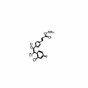 CCO/C(=C(\CC)c1ccc(F)cc1Cl)c1ccc(/C=C/C(=O)OC(C)(C)C)cc1